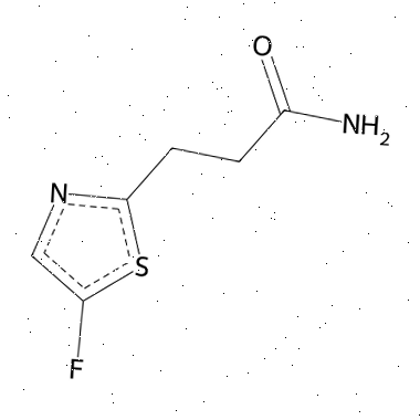 NC(=O)CCc1ncc(F)s1